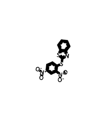 O=[N+]([O-])c1ccc(Sc2nc3ccccc3s2)c([N+](=O)[O-])c1